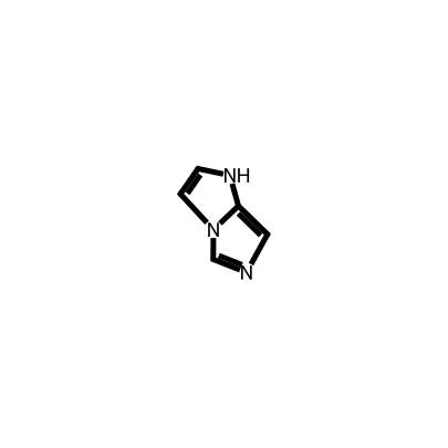 c1cn2cncc2[nH]1